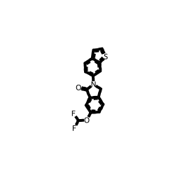 O=C1c2cc(OC(F)F)ccc2CN1c1ccc2ccsc2c1